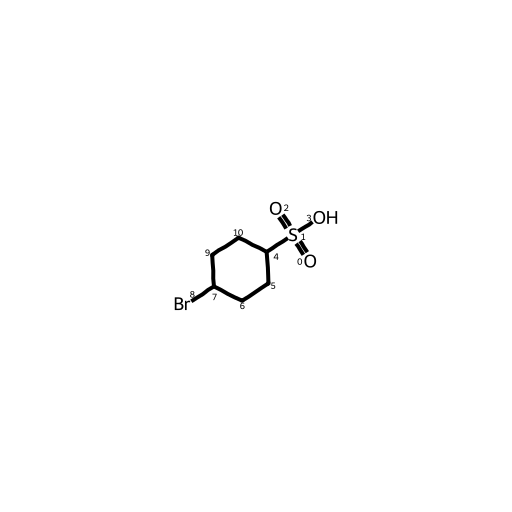 O=S(=O)(O)C1CCC(Br)CC1